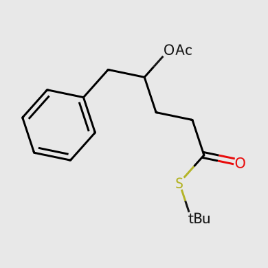 CC(=O)OC(CCC(=O)SC(C)(C)C)Cc1ccccc1